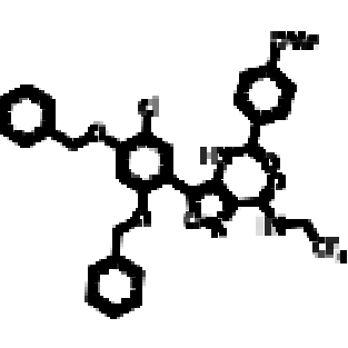 COc1ccc(C(=O)Nc2c(C(=O)NCC(F)(F)F)noc2-c2cc(Cl)c(OCc3ccccc3)cc2OCc2ccccc2)cc1